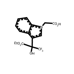 CCOC(=O)C(O)(c1cn(CC(=O)O)c2ccccc12)C(F)(F)F